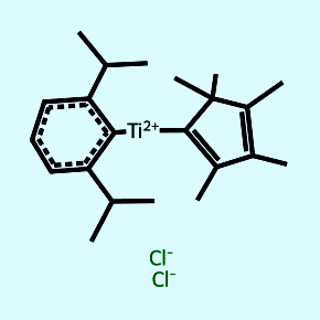 CC1=C(C)C(C)(C)[C]([Ti+2][c]2c(C(C)C)cccc2C(C)C)=C1C.[Cl-].[Cl-]